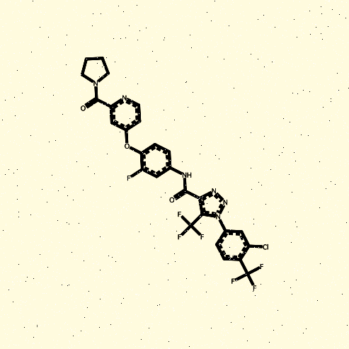 O=C(Nc1ccc(Oc2ccnc(C(=O)N3CCCC3)c2)c(F)c1)c1nnn(-c2ccc(C(F)(F)F)c(Cl)c2)c1C(F)(F)F